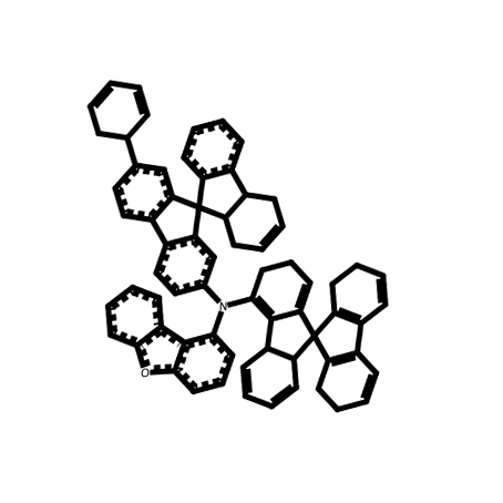 C1=CCC(c2ccc3c(c2)C2(c4cc(N(C5=C6C(=CCC5)C5(C7=C(C=CCC7)C7=C5CCC=C7)C5C=CC=CC65)c5cccc6oc7ccccc7c56)ccc4-3)c3ccccc3C3CC=CCC32)C=C1